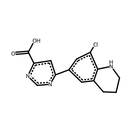 O=C(O)c1cc(-c2cc(Cl)c3c(c2)CCCN3)ncn1